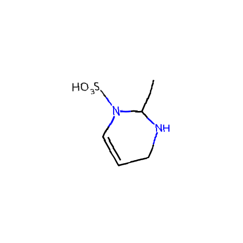 CC1NCC=CN1S(=O)(=O)O